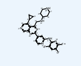 Fc1cc(F)c(Nc2cc(-c3nc(CNC4CCNCC4)c4c(C5CC5)cncc4n3)ccn2)nc1F